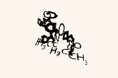 CC(C)COC(=O)N1CCC2(CC(Oc3nc(C(C)C)c(-c4ccc(F)cc4)c4cc5cnn(C6CCCCO6)c5cc34)C2)C1